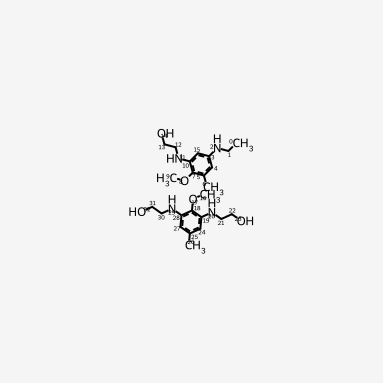 CCNc1cc(C)c(OC)c(NCCO)c1.COc1c(NCCO)cc(C)cc1NCCO